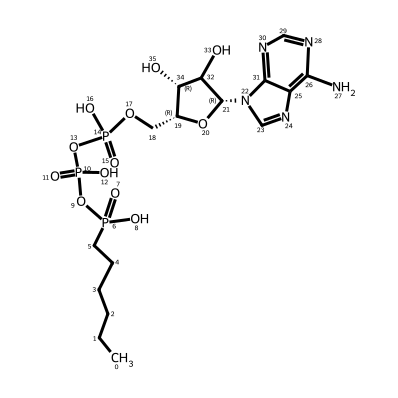 CCCCCCP(=O)(O)OP(=O)(O)OP(=O)(O)OC[C@H]1O[C@@H](n2cnc3c(N)ncnc32)C(O)[C@H]1O